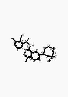 Cc1cccc([C@@H](C)Nc2nnc(C)c3ccc(C4CCNCC(F)(F)C4)cc23)c1C